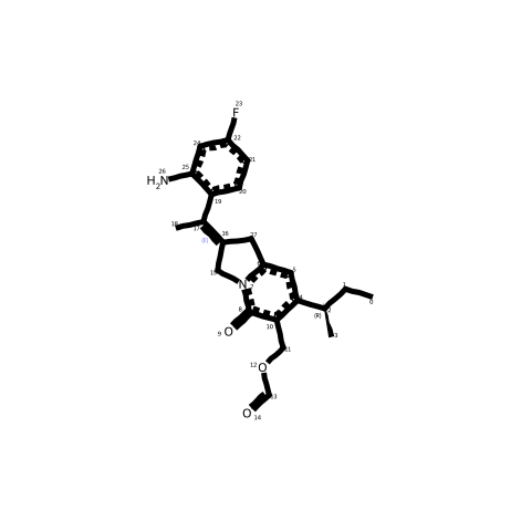 CC[C@@H](C)c1cc2n(c(=O)c1COC=O)C/C(=C(\C)c1ccc(F)cc1N)C2